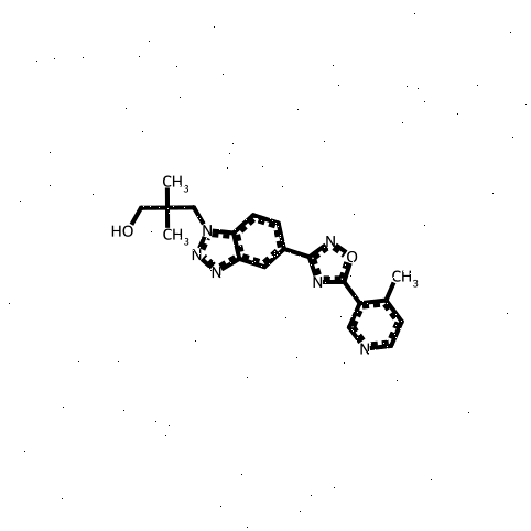 Cc1ccncc1-c1nc(-c2ccc3c(c2)nnn3CC(C)(C)CO)no1